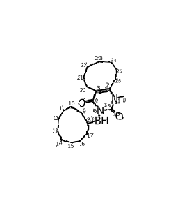 Cn1c2c(c(=O)n(BC3CCCCCCCCC3)c1=O)CCCCCCC2